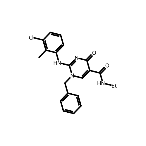 CCNC(=O)c1cn(Cc2ccccc2)c(Nc2cccc(Cl)c2C)nc1=O